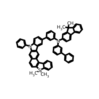 CC1(C)c2ccccc2-c2ccc(N(c3cccc(-c4ccccc4)c3)c3cccc(-c4ccc5c(c4)c4cc6c7c(ccc6cc4n5-c4ccccc4)[Si](C)(C)c4ccccc4-7)c3)cc21